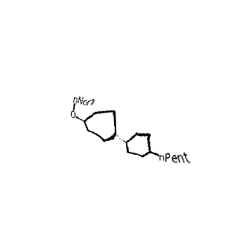 CCCCCCCCCO[C@H]1CC[C@H](C2CCC(CCCCC)CC2)CC1